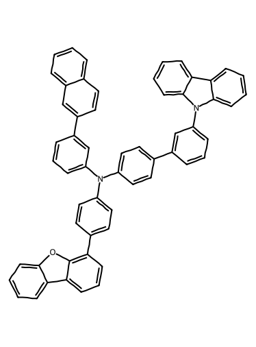 c1cc(-c2ccc3ccccc3c2)cc(N(c2ccc(-c3cccc(-n4c5ccccc5c5ccccc54)c3)cc2)c2ccc(-c3cccc4c3oc3ccccc34)cc2)c1